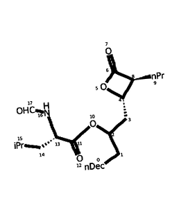 CCCCCCCCCCCC(C[C@@H]1OC(=O)[C@H]1CCC)OC(=O)[C@H](CC(C)C)NC=O